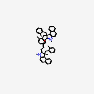 Cc1ccccc1CC1(Cc2ccccc2C)C(/C=C/C=C/C=C2/N(C)c3ccc4ccccc4c3C2(C)Cc2ccccc2C)=[N+](C)c2ccc3ccccc3c21